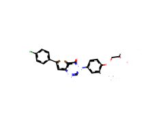 COc1cc(-n2cnc3cc(-c4ccc(Cl)cc4)sc3c2=O)ccc1OCC(O)C(=O)O